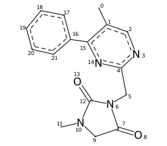 Cc1cnc(CN2C(=O)CN(C)C2=O)nc1-c1ccccc1